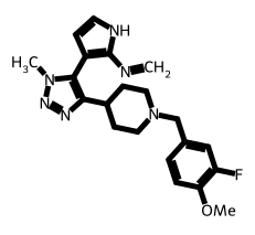 C=Nc1[nH]ccc1-c1c(C2CCN(Cc3ccc(OC)c(F)c3)CC2)nnn1C